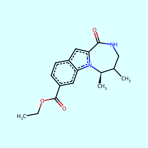 CCOC(=O)c1ccc2cc3n(c2c1)[C@H](C)C(C)CNC3=O